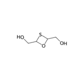 OCC1OC(CO)S1